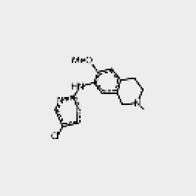 COc1cc2c(cc1Nc1ncc(Cl)cn1)CN(C)CC2